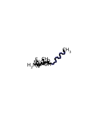 C#C[C@]1(COC(=O)CC/C=C\C/C=C\C/C=C\C/C=C\C/C=C\C/C=C\CC)OC(n2cnc3c(N)nc(F)nc32)C[C@@H]1O